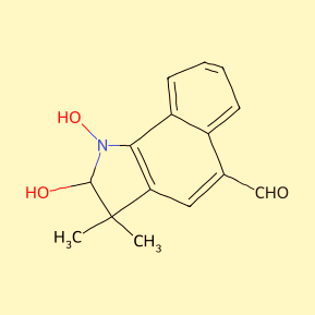 CC1(C)c2cc(C=O)c3ccccc3c2N(O)C1O